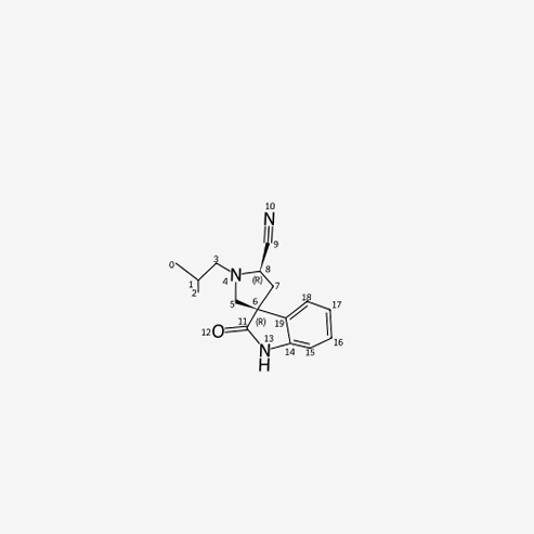 CC(C)CN1C[C@]2(C[C@@H]1C#N)C(=O)Nc1ccccc12